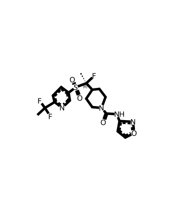 CC(F)(F)c1ccc(S(=O)(=O)[C@@](C)(F)C2CCN(C(=O)Nc3ccon3)CC2)cn1